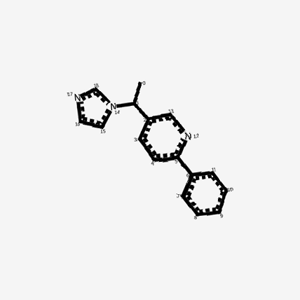 CC(c1ccc(-c2ccccc2)nc1)n1ccnc1